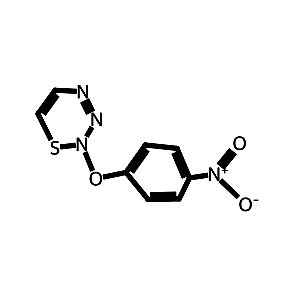 O=[N+]([O-])c1ccc(ON2N=NC=CS2)cc1